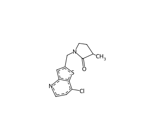 CC1CCN(Cc2cc3nccc(Cl)c3s2)C1=O